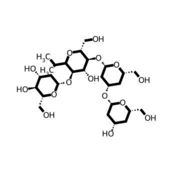 CC(C)C1O[C@H](CO)[C@@H](O[C@H]2C[C@@H](O[C@H]3C[C@@H](O)C[C@@H](CO)O3)C[C@@H](CO)O2)[C@H](O)[C@H]1O[C@H]1C[C@@H](O)[C@H](O)[C@@H](CO)O1